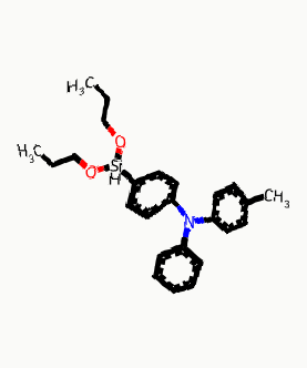 CCCO[SiH](OCCC)c1ccc(N(c2ccccc2)c2ccc(C)cc2)cc1